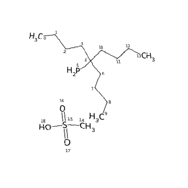 CCCCC(P)(CCCC)CCCC.CS(=O)(=O)O